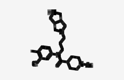 C=C(C1CCN(C(C)=O)CC1)N(CCCN1CC2CNCC2C1)c1ccc(C)c(Cl)c1